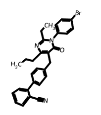 CCCc1nc(CC)n(-c2ccc(Br)cc2)c(=O)c1Cc1ccc(-c2ccccc2C#N)cc1